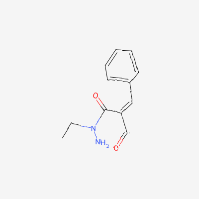 CCN(N)C(=O)C([C]=O)=Cc1ccccc1